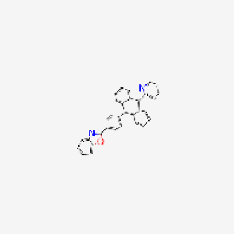 c1ccc(-c2c3ccccc3c(-c3ccc(-c4nc5ccccc5o4)cc3)c3ccccc23)nc1